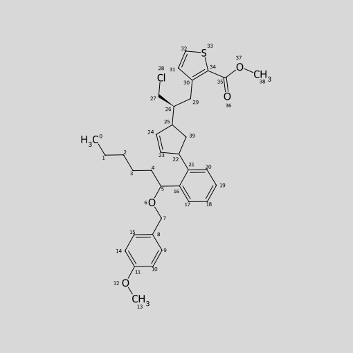 CCCCCC(OCc1ccc(OC)cc1)c1ccccc1C1C=CC([C@@H](CCl)Cc2ccsc2C(=O)OC)C1